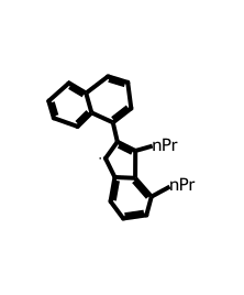 CCCC1=C(c2cccc3ccccc23)[CH]c2cccc(CCC)c21